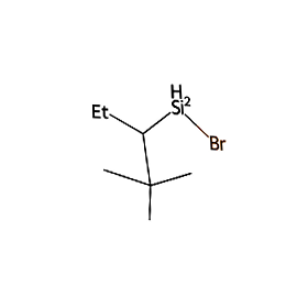 CCC([SiH2]Br)C(C)(C)C